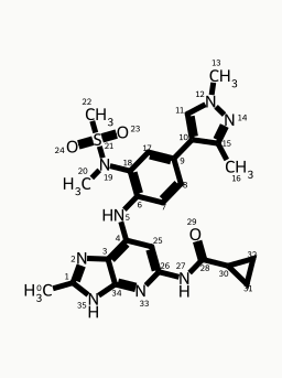 Cc1nc2c(Nc3ccc(-c4cn(C)nc4C)cc3N(C)S(C)(=O)=O)cc(NC(=O)C3CC3)nc2[nH]1